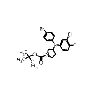 CC(C)(C)OC(=O)N1CCC(N(c2ccc(Br)cc2)c2ccc(F)c(Cl)c2)C1